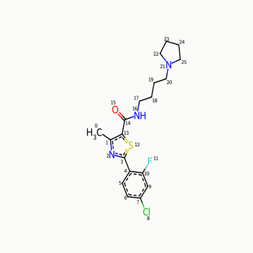 Cc1nc(-c2ccc(Cl)cc2F)sc1C(=O)NCCCCN1CCCC1